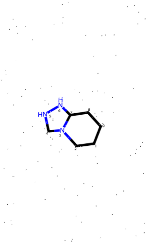 C1CCN2CNNC2C1